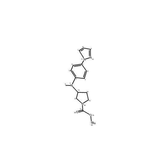 CN(c1ccc(-n2cccn2)cc1)C1CCN(C(=O)OC(C)(C)C)C1